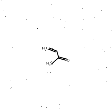 C=CC(=O)[SiH3]